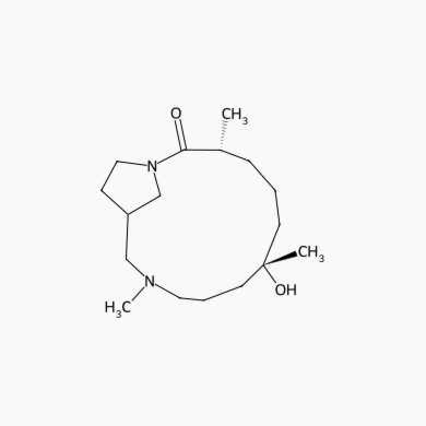 C[C@@H]1CCC[C@](C)(O)CCCN(C)CC2CCN(C2)C1=O